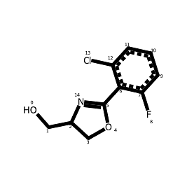 OCC1COC(c2c(F)cccc2Cl)=N1